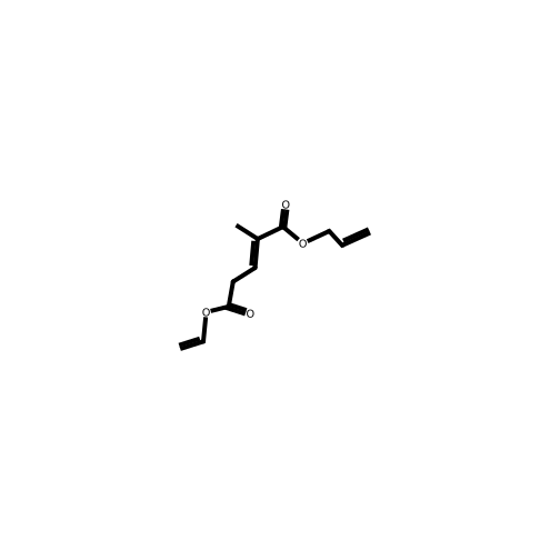 C=CCOC(=O)C(C)=CCC(=O)OC=C